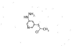 CC(Cl)Sc1cncc(NN)c1